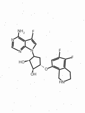 Nc1ncnc2c1c(F)cn2C1C[C@H](Oc2cc(F)c(F)c3c2CNCC3)[C@@H](O)[C@H]1O